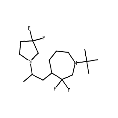 CC(CC1CCCN(C(C)(C)C)CC1(F)F)N1CCC(F)(F)C1